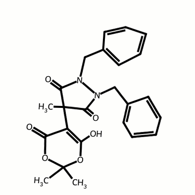 CC1(C)OC(=O)C(C2(C)C(=O)N(Cc3ccccc3)N(Cc3ccccc3)C2=O)=C(O)O1